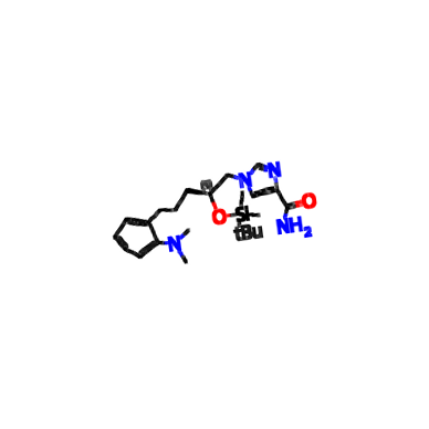 CN(C)c1ccccc1CCC[C@@H](Cn1cnc(C(N)=O)c1)O[Si](C)(C)C(C)(C)C